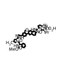 COC(=O)N[C@@H](C(=O)N1C[C@@H](C)C[C@H]1c1ncc(-c2ccc3c(c2)COc2cc4c(ccc5nc([C@@H]6CC[C@H](C)N6C(=O)[C@@H](NC(=O)O)C(C)C)[nH]c54)cc2-3)[nH]1)c1ccccc1